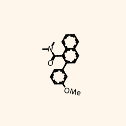 COc1cccc(-c2ccc3ccccc3c2C(=O)N(C)C)c1